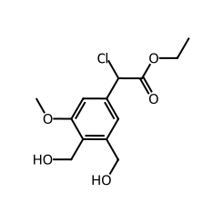 CCOC(=O)C(Cl)c1cc(CO)c(CO)c(OC)c1